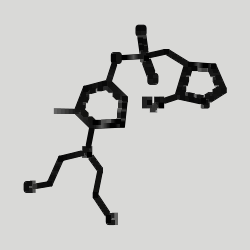 Cc1cc(OS(=O)(=O)Cc2ccsc2N)ccc1N(CCCl)CCCl